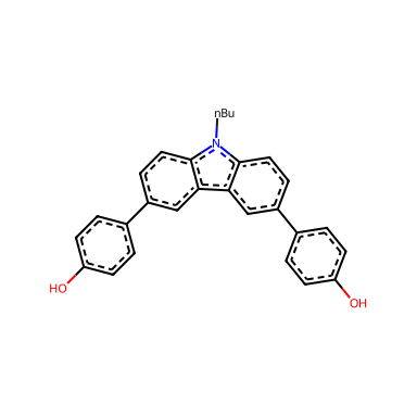 CCCCn1c2ccc(-c3ccc(O)cc3)cc2c2cc(-c3ccc(O)cc3)ccc21